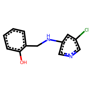 Oc1ccccc1CNc1cncc(Cl)c1